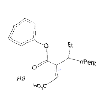 CCCCCC(CC)/C(=C/C(=O)O)C(=O)Oc1ccccc1.[Hg]